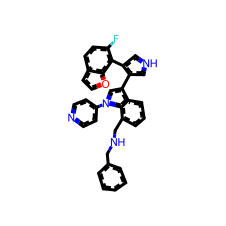 Fc1ccc2ccoc2c1-c1c[nH]cc1-c1cn(-c2ccncc2)c2c(CNCc3ccccc3)cccc12